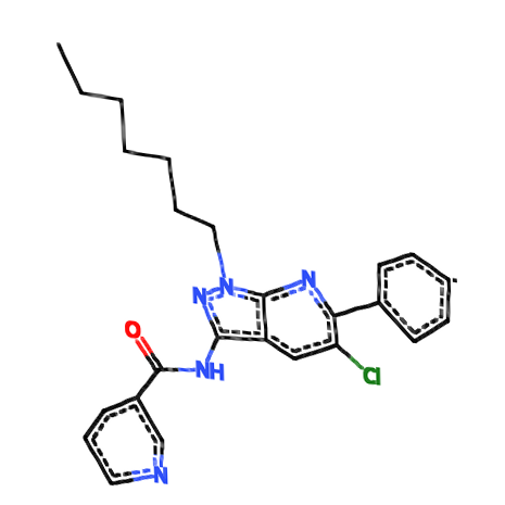 CCCCCCCn1nc(NC(=O)c2cccnc2)c2cc(Cl)c(-c3cc[c]cc3)nc21